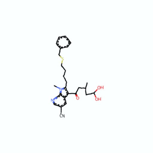 CC(CC(=O)c1c(CCCCSCc2ccccc2)n(C)c2ncc(C#N)cc12)CC(O)O